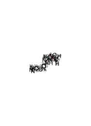 C=CC(=O)NC1[C@@H]2C[C@H]1CN(c1ncc3ncnc(Nc4ccc(Oc5ccc6c(c5)nnn6C)c(C)c4)c3n1)C2